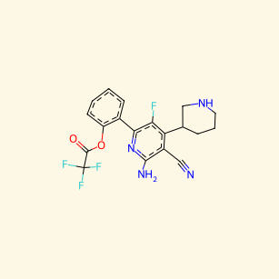 N#Cc1c(N)nc(-c2ccccc2OC(=O)C(F)(F)F)c(F)c1C1CCCNC1